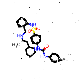 CC(=O)c1ccc(NC(=O)Nc2ccc(S(=O)(=O)Nc3ccccc3CN[C@@H](C)CC3CCCCC3)cc2)cc1